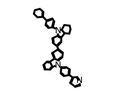 C1=C(c2ccc(N3c4ccc(-c5ccc6c(c5)c5ccccc5n6-c5ccc(-c6cccnc6)cc5)cc4C4CCCCC43)cc2)CCCC1